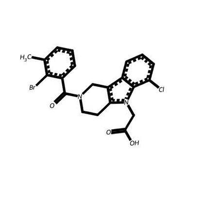 Cc1cccc(C(=O)N2CCc3c(c4cccc(Cl)c4n3CC(=O)O)C2)c1Br